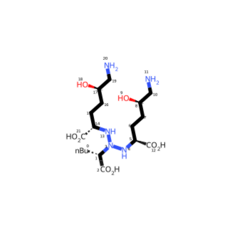 CCCC[C@@H](C(=O)O)N(N[C@@H](CC[C@@H](O)CN)C(=O)O)N[C@@H](CC[C@@H](O)CN)C(=O)O